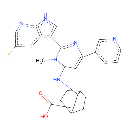 CN1C(c2c[nH]c3ncc(F)cc23)=NC(c2cccnc2)=CC1NC1C2CCC(CC2)C1C(=O)O